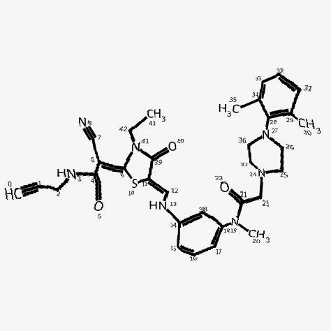 C#CCNC(=O)C(C#N)=c1sc(=CNc2cccc(N(C)C(=O)CN3CCN(c4c(C)cccc4C)CC3)c2)c(=O)n1CC